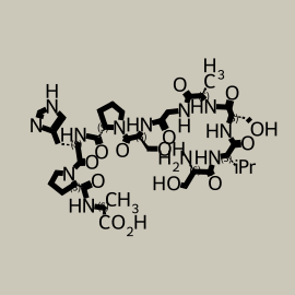 CC(C)[C@H](NC(=O)[C@@H](N)CO)C(=O)N[C@@H](CO)C(=O)N[C@@H](C)C(=O)NCC(=O)N[C@@H](CO)C(=O)N1CCC[C@H]1C(=O)N[C@@H](Cc1c[nH]cn1)C(=O)N1CCC[C@H]1C(=O)N[C@@H](C)C(=O)O